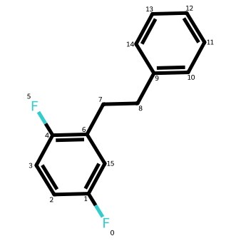 Fc1ccc(F)c(CCc2ccccc2)c1